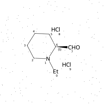 CCN1CCCC[C@H]1C=O.Cl.Cl